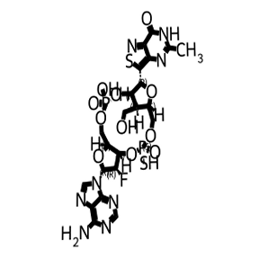 Cc1nc2c([C@@H]3O[C@@H]4CO[P@](=O)(S)O[C@H]5[C@@H](F)[C@H](n6cnc7c(N)ncnc76)O[C@@H]5COP(=O)(O)O[C@@H]3[C@@H]4CO)snc2c(=O)[nH]1